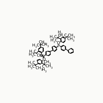 CC(C)(C)c1ccc(OP(Oc2ccc(C(C)(C)C)cc2C(C)(C)C)c2ccc(-c3ccc(P(Oc4ccc(C(C)(C)C)cc4C(C)(C)C)c4ccc(-c5ccccc5)cc4)cc3)cc2)c(C(C)(C)C)c1